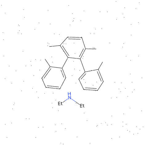 CCNCC.Cc1ccccc1-c1c(C)ccc(C)c1-c1ccccc1C